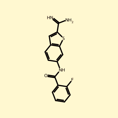 N=C(N)c1cc2ccc(NC(=O)c3ccccc3F)cc2s1